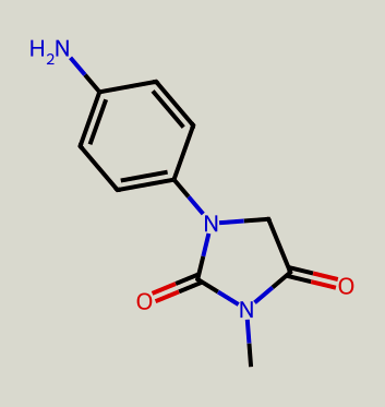 CN1C(=O)CN(c2ccc(N)cc2)C1=O